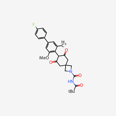 COc1cc(-c2ccc(F)cc2)cc(C)c1C1C(=O)CC2(CC1=O)CN(C(=O)NC(=O)C(C)(C)C)C2